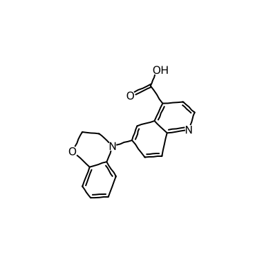 O=C(O)c1ccnc2ccc(N3CCOc4ccccc43)cc12